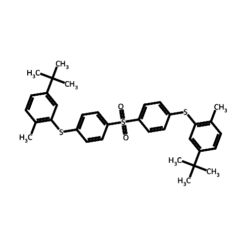 Cc1ccc(C(C)(C)C)cc1Sc1ccc(S(=O)(=O)c2ccc(Sc3cc(C(C)(C)C)ccc3C)cc2)cc1